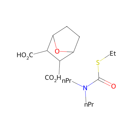 CCCN(CCC)C(=O)SCC.O=C(O)C1C2CCC(O2)C1C(=O)O